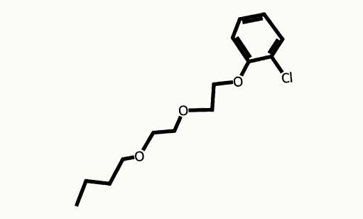 CCCCOCCOCCOc1ccccc1Cl